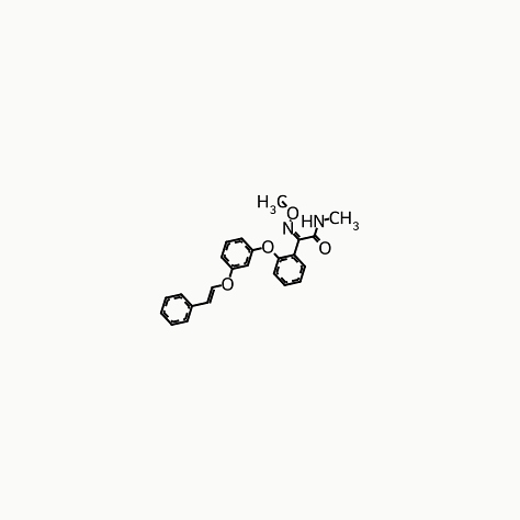 CNC(=O)/C(=N\OC)c1ccccc1Oc1cccc(O/C=C/c2ccccc2)c1